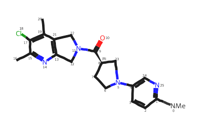 CNc1ccc(N2CC[C@@H](C(=O)N3Cc4nc(C)c(Cl)c(C)c4C3)C2)cn1